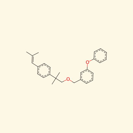 CC(C)=Cc1ccc(C(C)(C)COCc2cccc(Oc3ccccc3)c2)cc1